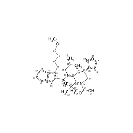 COCCCCn1c(C(=O)N(CC(C)C)[C@H]2C[C@@H](c3ncon3)CN(C(=O)O)C2C(C)(C)C)nc2ccccc21